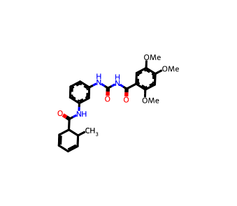 COc1cc(OC)c(C(=O)NC(=O)Nc2cccc(NC(=O)C3C=CC=CC3C)c2)cc1OC